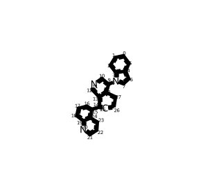 c1ccc2c(c1)ccn2-c1cncc2c(-c3cccc4ncccc34)cccc12